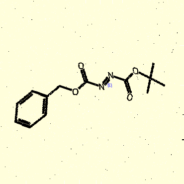 CC(C)(C)OC(=O)/N=N/C(=O)OCc1ccccc1